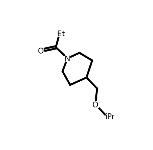 CCC(=O)N1CCC(COC(C)C)CC1